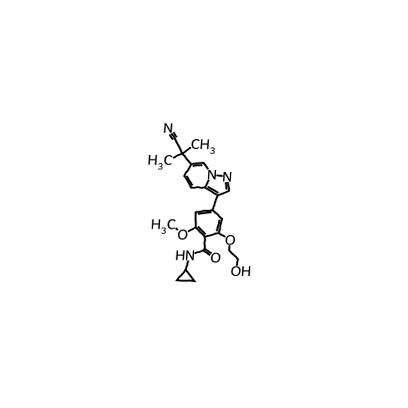 COc1cc(-c2cnn3cc(C(C)(C)C#N)ccc23)cc(OCCO)c1C(=O)NC1CC1